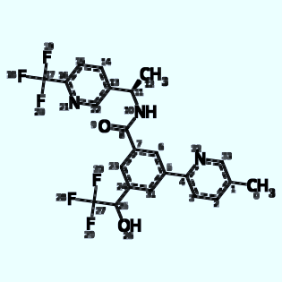 Cc1ccc(-c2cc(C(=O)N[C@H](C)c3ccc(C(F)(F)F)nc3)cc(C(O)C(F)(F)F)c2)nc1